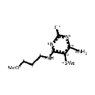 COCCCNc1nc(F)nc(N)c1SC